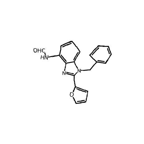 O=CNc1cccc2c1nc(-c1ccco1)n2Cc1ccccc1